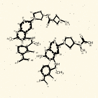 Cc1nc(N[C@H](C)c2cccc(C(F)F)c2F)c2cc(N3CC[C@@H](N(C)C(=O)O)C3)ncc2n1.Cc1nc(N[C@H](C)c2cccc(C(F)F)c2F)c2cc(N3CC[C@@H](NC(=O)C4CN(C)C4)C3)ncc2n1